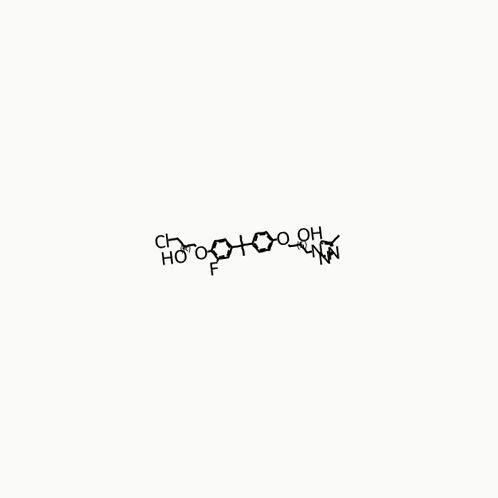 Cc1cn(C[C@H](O)COc2ccc(C(C)(C)c3ccc(OC[C@@H](O)CCl)c(F)c3)cc2)nn1